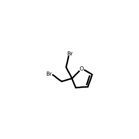 BrCC1(CBr)CC=CO1